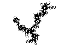 Cc1nc2c(F)cc(-c3nc(Nc4ccc5c(n4)CCN(CCNCc4nc(Nc6ccc7c(n6)CCN(CCN6CCSCC6)C7)nc(-c6cc(F)c7nc(C)n(C(C)(C)C)c7c6)c4F)C5)ncc3F)cc2n1C(C)(C)C